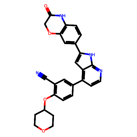 N#Cc1cc(-c2ccnc3[nH]c(-c4ccc5c(c4)OCC(=O)N5)cc23)ccc1OC1CCOCC1